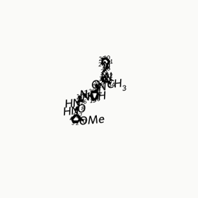 COc1cccc(NC(=O)Nc2cnn(-c3cccc(C(=O)Nc4cn(CCN5CCCC5)nc4C)c3)c2)c1